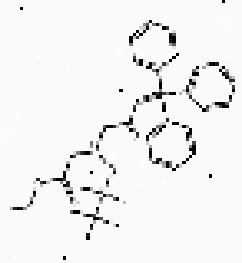 CCOC(=O)C[C@@H](CC(=O)C=P(c1ccccc1)(c1ccccc1)c1ccccc1)O[Si](C)(C)C(C)(C)C